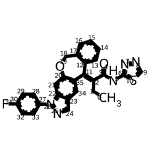 CC/C(C(=O)Nc1nncs1)=C1/c2ccccc2COc2cc3c(cnn3-c3ccc(F)cc3)cc21